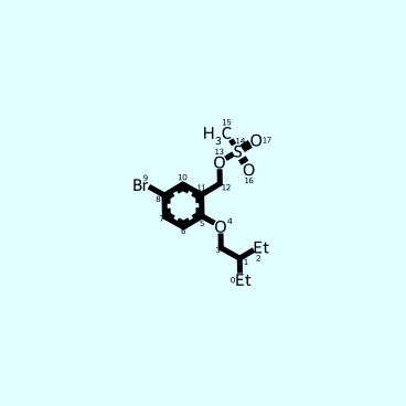 CCC(CC)COc1ccc(Br)cc1COS(C)(=O)=O